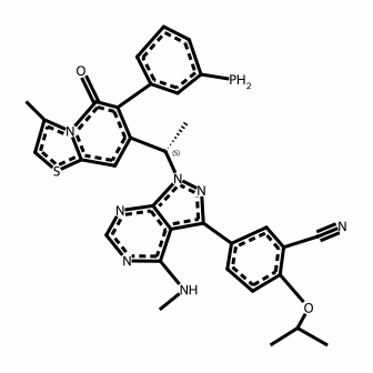 CNc1ncnc2c1c(-c1ccc(OC(C)C)c(C#N)c1)nn2[C@@H](C)c1cc2scc(C)n2c(=O)c1-c1cccc(P)c1